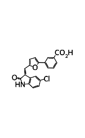 O=C1Nc2ccc(Cl)cc2C1=Cc1ccc(-c2cccc(C(=O)O)c2)o1